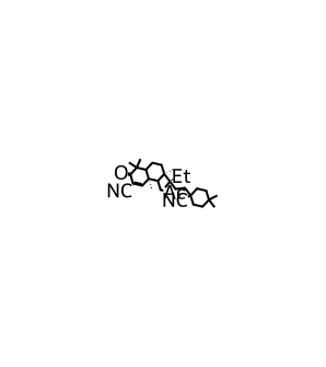 CC[C@@](C)(CCC1(C#N)CCC(C)(C)CC1)[C@]1(C)CCC2C(C)(C)C(=O)C(C#N)=C[C@]2(C)C1CC(C)=O